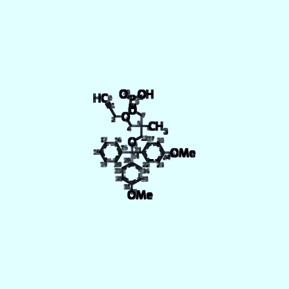 C#CCOCC(C)(CO[PH](=O)O)COC(c1ccccc1)(c1ccc(OC)cc1)c1ccc(OC)cc1